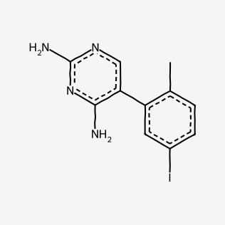 Cc1ccc(I)cc1-c1cnc(N)nc1N